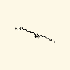 NCCCCCCCC(N)CCCCCCCN